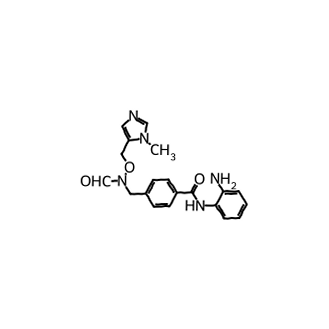 Cn1cncc1CON(C=O)Cc1ccc(C(=O)Nc2ccccc2N)cc1